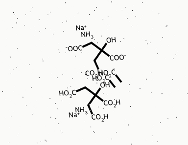 CC(=O)O.CC(=O)O.N.N.O=C(O)CC(O)(CC(=O)O)C(=O)O.O=C([O-])CC(O)(CC(=O)O)C(=O)[O-].[Na+].[Na+]